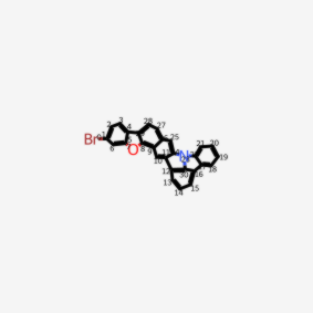 Brc1ccc2c(c1)oc1c3cc4c5cccc6c7ccccc7n(c4cc3ccc21)c65